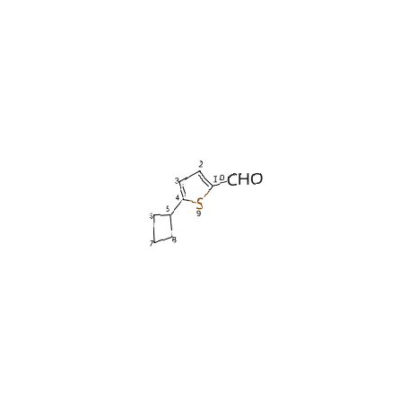 O=Cc1ccc(C2CCC2)s1